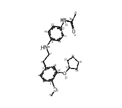 COc1ccc(CCNc2ccc(NC(C)=O)cc2)cc1OC1CCCC1